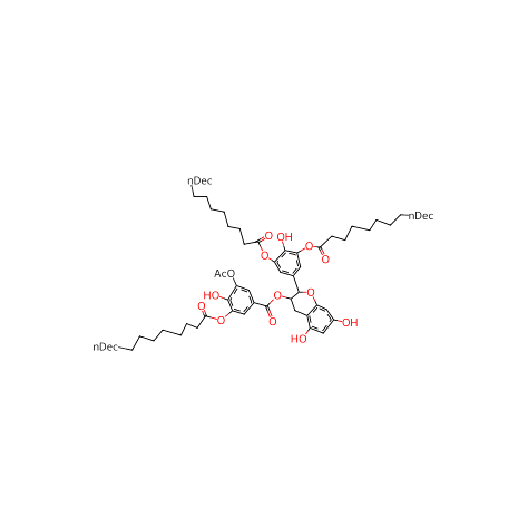 CCCCCCCCCCCCCCCCCC(=O)Oc1cc(C(=O)OC2Cc3c(O)cc(O)cc3OC2c2cc(OC(=O)CCCCCCCCCCCCCCCCC)c(O)c(OC(=O)CCCCCCCCCCCCCCCCC)c2)cc(OC(C)=O)c1O